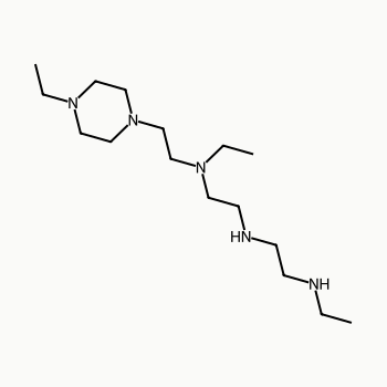 CCNCCNCCN(CC)CCN1CCN(CC)CC1